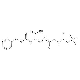 CC(C)(C)OC(=O)NCC(=O)NC[C@H](NC(=O)OCc1ccccc1)C(=O)O